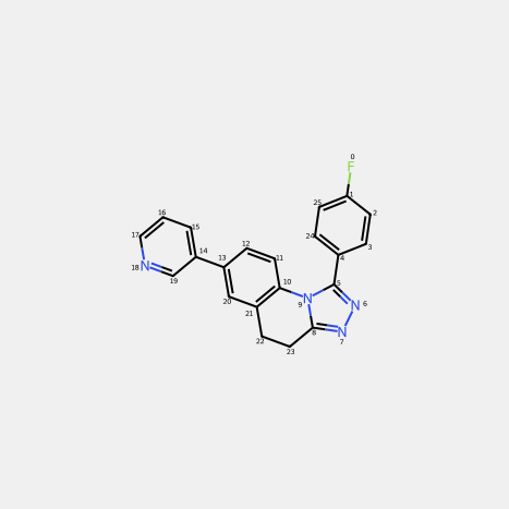 Fc1ccc(-c2nnc3n2-c2ccc(-c4cccnc4)cc2CC3)cc1